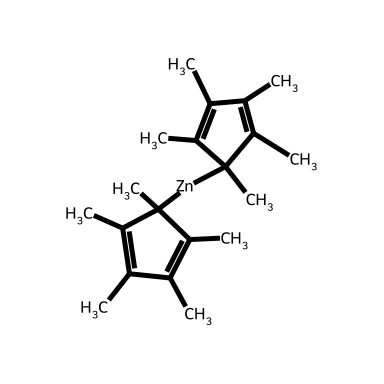 CC1=C(C)[C](C)([Zn][C]2(C)C(C)=C(C)C(C)=C2C)C(C)=C1C